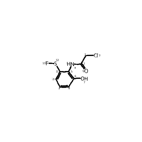 O=C(CCl)Nc1c(O)cccc1SF